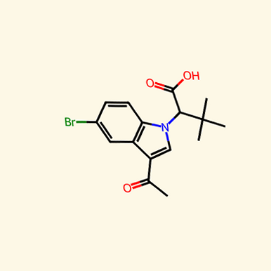 CC(=O)c1cn(C(C(=O)O)C(C)(C)C)c2ccc(Br)cc12